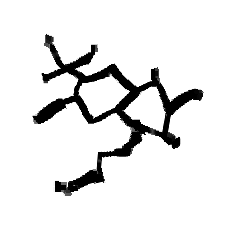 C=CCOn1c(=O)c(=O)[nH]c2cc(C(F)(F)F)c(C#N)cc21